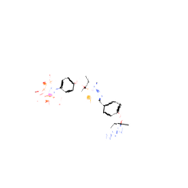 CCC(C)(N=[N+]=[N-])Oc1ccc(/C=N/N(C)[PH](=S)C(C)(CC)Oc2ccc(N(P(=O)(OC)OC)P(=O)(OC)OC)cc2)cc1